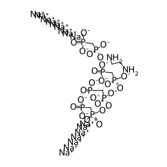 NCCN.O=P([O-])([O-])CP(=O)([O-])[O-].O=P([O-])([O-])CP(=O)([O-])[O-].O=P([O-])([O-])CP(=O)([O-])[O-].O=P([O-])([O-])CP(=O)([O-])[O-].[Na+].[Na+].[Na+].[Na+].[Na+].[Na+].[Na+].[Na+].[Na+].[Na+].[Na+].[Na+].[Na+].[Na+].[Na+].[Na+]